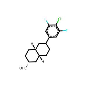 O=C[C@@H]1CC[C@@H]2CC(c3cc(F)c(Cl)c(F)c3)CC[C@@H]2C1